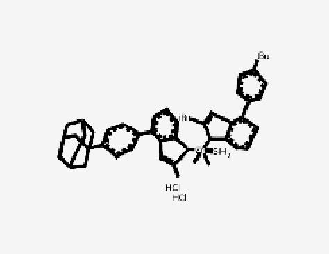 CCC(C)C1=Cc2c(-c3ccc(C(C)(C)C)cc3)cccc2[CH]1[Zr]([CH3])([CH3])(=[SiH2])[CH]1C(C)=Cc2c(-c3ccc(C45CC6CC(CC(C6)C4)C5)cc3)cccc21.Cl.Cl